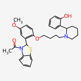 COc1ccc(OCCCCN2CCCCC2c2ccccc2O)c(C2Sc3ccccc3N2C(C)=O)c1